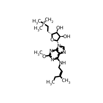 C=P(C)(C)CC[C@H]1O[C@@H](n2cnc3c(NC/C=C(/C)CC)nc(OC)nc32)[C@H](O)[C@@H]1O